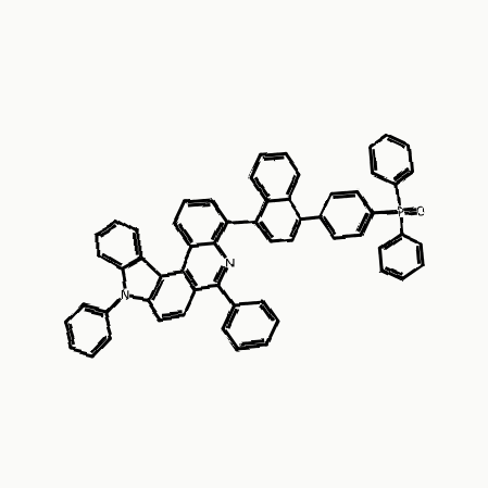 O=P(c1ccccc1)(c1ccccc1)c1ccc(-c2ccc(-c3cccc4c3nc(-c3ccccc3)c3ccc5c(c6ccccc6n5-c5ccccc5)c34)c3ccccc23)cc1